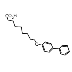 O=C(O)CCCCCCCCOc1ccc(-c2ccccc2)cc1